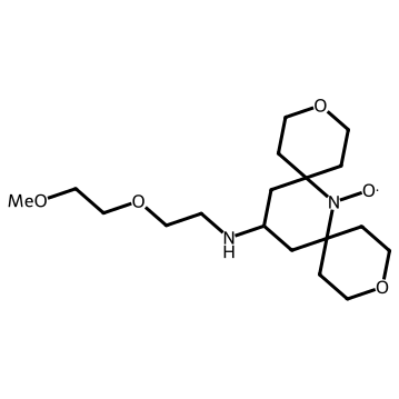 COCCOCCNC1CC2(CCOCC2)N([O])C2(CCOCC2)C1